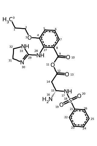 CCCOc1cccc(C(=O)OC(=O)C[C@@H](N)NS(=O)(=O)c2ccccc2)c1NC1=NCCN1